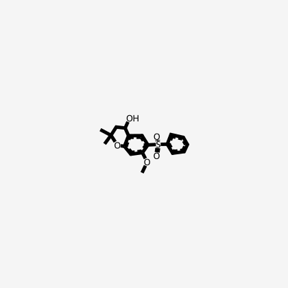 COc1cc2c(cc1S(=O)(=O)c1ccccc1)C(O)CC(C)(C)O2